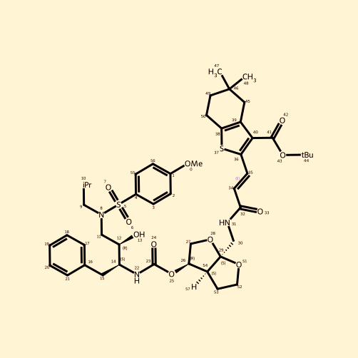 COc1ccc(S(=O)(=O)N(CC(C)C)C[C@@H](O)[C@H](Cc2ccccc2)NC(=O)O[C@H]2CO[C@@]3(CNC(=O)/C=C/c4sc5c(c4C(=O)OC(C)(C)C)CC(C)(C)CC5)OCC[C@@H]23)cc1